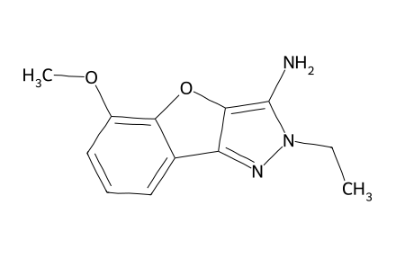 CCn1nc2c(oc3c(OC)cccc32)c1N